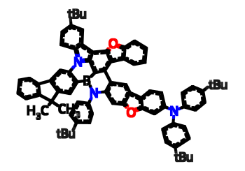 CC(C)(C)c1ccc(N2B3c4cc5c(cc4-n4c6ccc(C(C)(C)C)cc6c6c7oc8ccccc8c7c(c3c64)-c3cc4c(cc32)oc2cc(N(c3ccc(C(C)(C)C)cc3)c3ccc(C(C)(C)C)cc3)ccc24)-c2ccccc2C5(C)C)cc1